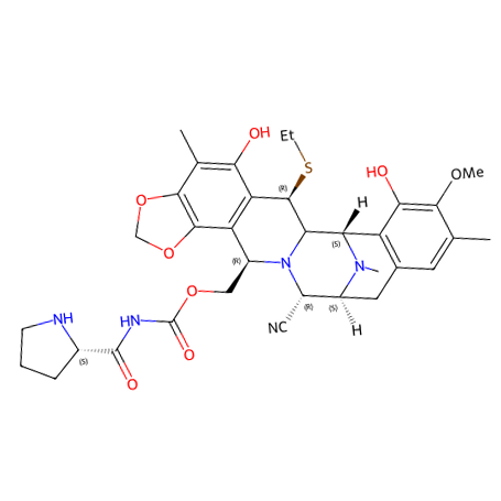 CCS[C@@H]1c2c(O)c(C)c3c(c2[C@H](COC(=O)NC(=O)[C@@H]2CCCN2)N2C1[C@@H]1c4c(cc(C)c(OC)c4O)C[C@@H]([C@@H]2C#N)N1C)OCO3